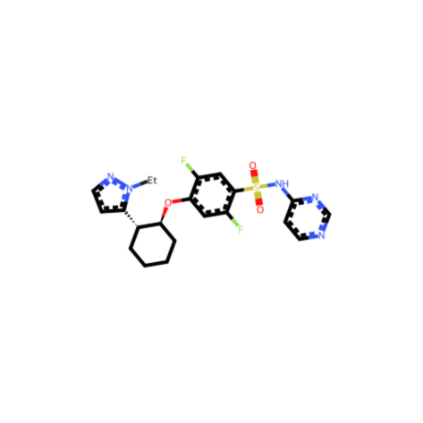 CCn1nccc1[C@H]1CCCC[C@@H]1Oc1cc(F)c(S(=O)(=O)Nc2ccncn2)cc1F